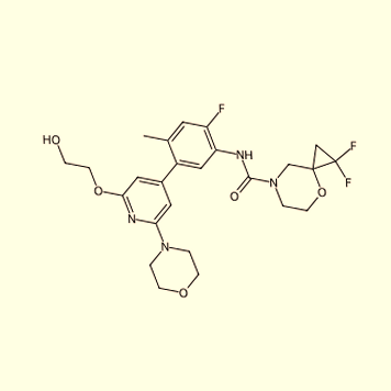 Cc1cc(F)c(NC(=O)N2CCOC3(C2)CC3(F)F)cc1-c1cc(OCCO)nc(N2CCOCC2)c1